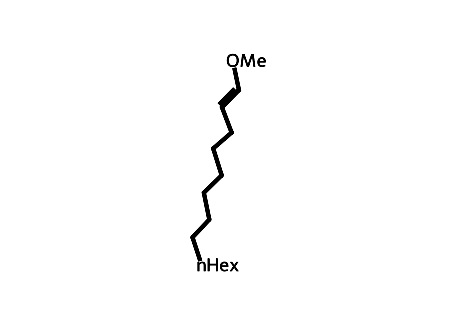 [CH2]OC=CCCCCCCCCCCCC